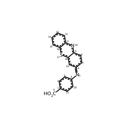 O=C(O)c1ccc(N=c2ccc3nc4ccccc4sc-3c2)cc1